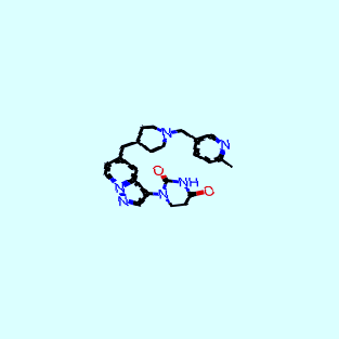 Cc1ccc(CN2CCC(Cc3ccn4ncc(N5CCC(=O)NC5=O)c4c3)CC2)cn1